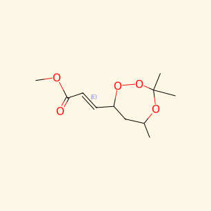 COC(=O)/C=C/C1CC(C)OC(C)(C)OO1